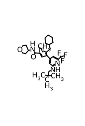 Cn1c(C(=O)NC2CCOCC2)cc(-c2cc(NCC(C)(C)C)nc(C(F)(F)F)c2)c1CC1CCCCC1